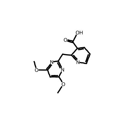 COc1cc(OC)nc(Cc2ncccc2C(=O)O)n1